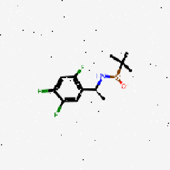 C[C@H](N[S+]([O-])C(C)(C)C)c1cc(F)c(F)cc1F